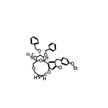 CCOc1ccc(Cc2cc3c(cc2Cl)OC[C@@H]2C[C@@H]2COC[C@H]2O[C@@H]3[C@H](OCc3ccccc3)[C@@H](OCc3ccccc3)[C@@H]2C)cc1